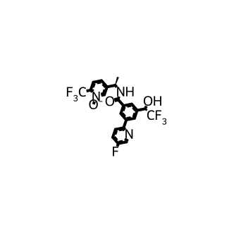 C[C@@H](NC(=O)c1cc(-c2ccc(F)cn2)cc([C@@H](O)C(F)(F)F)c1)c1ccc(C(F)(F)F)[n+]([O-])c1